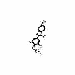 CCCc1ccc2c(F)c(-c3cc(F)c(OC(F)(F)F)c(F)c3)sc2c1